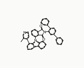 Cc1cnccc1-c1cccc2c3ccccc3n(-c3cccc4c3C(=O)N(c3cc(-c5ccccc5)ccc3-c3ccccc3)C4=O)c12